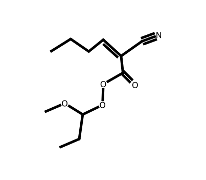 CCCC=C(C#N)C(=O)OOC(CC)OC